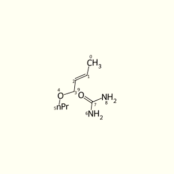 CC=CCOCCC.NC(N)=O